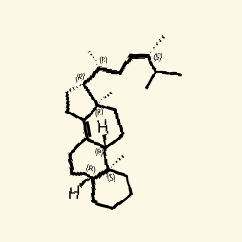 CC(C)[C@@H](C)CC[C@@H](C)[C@H]1CCC2=C3CC[C@H]4CCCC[C@]4(C)[C@H]3CC[C@@]21C